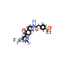 CC[S+]([O-])c1ccc(CC(=O)Nc2ccc3c(n2)CCC(C)(c2cc(C(F)(F)F)nc(C)n2)C3=O)cc1